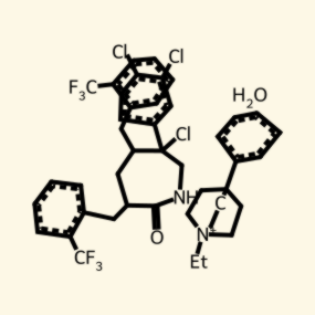 CC[N+]12CCC(c3ccccc3)(CC1)CC2.O.O=C1NCC(Cl)(c2ccc(Cl)c(Cl)c2)C(Cc2ccccc2C(F)(F)F)CC1Cc1ccccc1C(F)(F)F